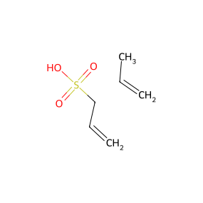 C=CC.C=CCS(=O)(=O)O